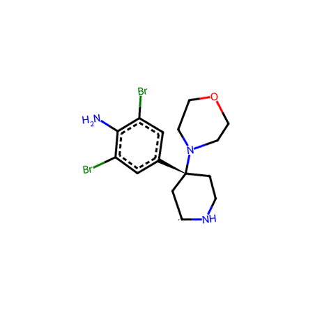 Nc1c(Br)cc([C@]2(N3CCOCC3)C[CH]NCC2)cc1Br